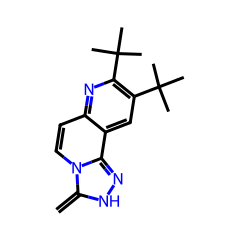 C=C1NN=C2c3cc(C(C)(C)C)c(C(C)(C)C)nc3C=CN12